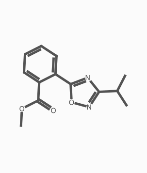 COC(=O)c1ccccc1-c1nc(C(C)C)no1